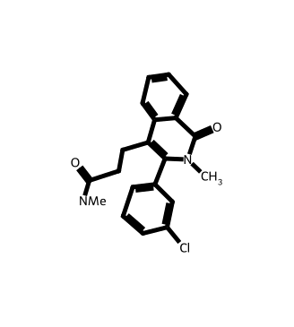 CNC(=O)CCc1c(-c2cccc(Cl)c2)n(C)c(=O)c2ccccc12